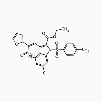 CCOC(=O)c1c(C=C(C(=O)O)c2ccco2)c2c(Cl)cc(Cl)cc2n1S(=O)(=O)c1ccc(C)cc1